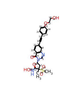 CC(CCn1cnc2cc(C#Cc3ccc(OCCO)cc3)ccc2c1=O)(C(=O)NO)S(C)(=O)=O